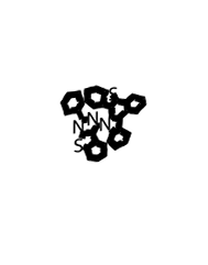 c1ccc(-c2nc(-n3c4ccccc4c4c5ccccc5c5sc6ccccc6c5c43)c3c(n2)sc2ccccc23)cc1